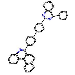 c1ccc(-c2nc(-c3ccc(-c4ccc(-c5nc6ccccc6c6c5ccc5ccccc56)cc4)cc3)nc3ccccc23)cc1